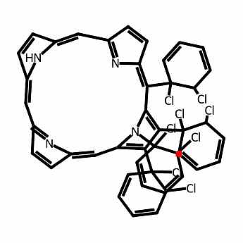 ClC1C=CC=CC1(Cl)c1c(C2(Cl)C=CC=CC2Cl)c2c(C3(Cl)C=CC=CC3Cl)c3nc(cc4ccc(cc5nc(cc1n2C1(Cl)C=CC=CC1Cl)C=C5)[nH]4)C=C3